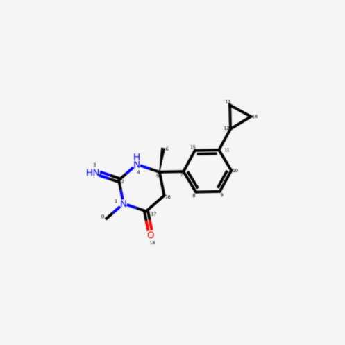 CN1C(=N)N[C@](C)(c2cccc(C3CC3)c2)CC1=O